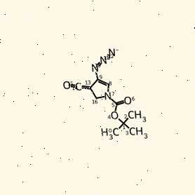 CC(C)(C)OC(=O)N1C=C(N=[N+]=[N-])C(=C=O)C1